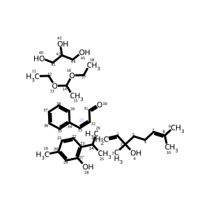 C=CC(C)(O)CCC=C(C)C.CCOC(C)OCC.Cc1ccc(C(C)C)c(O)c1.O=C/C=C\c1ccccc1.OCC(O)CO